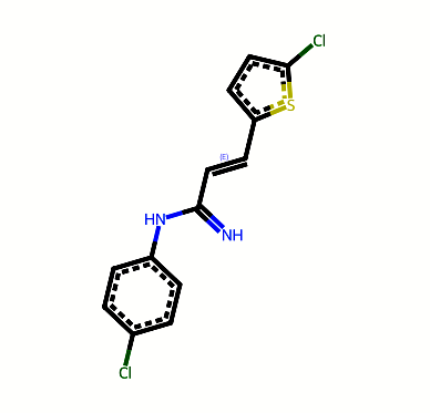 N=C(/C=C/c1ccc(Cl)s1)Nc1ccc(Cl)cc1